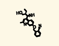 CC[C@H](CO)C(=N)c1cc(C)nc2cc(OCc3ccccc3C#N)ccc12